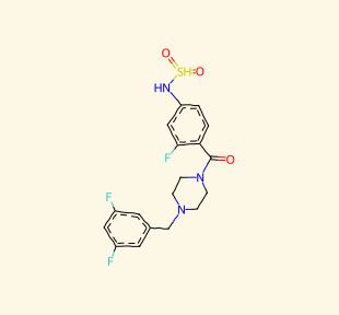 O=C(c1ccc(N[SH](=O)=O)cc1F)N1CCN(Cc2cc(F)cc(F)c2)CC1